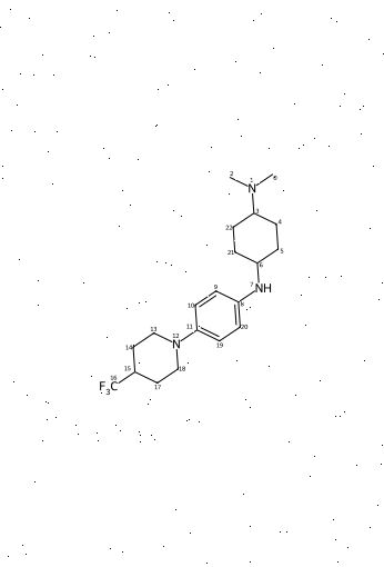 CN(C)C1CCC(Nc2ccc(N3CCC(C(F)(F)F)CC3)cc2)CC1